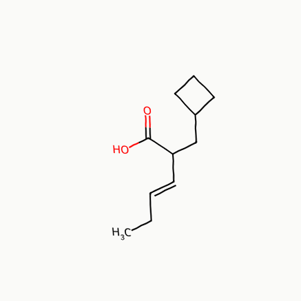 CCC=CC(CC1CCC1)C(=O)O